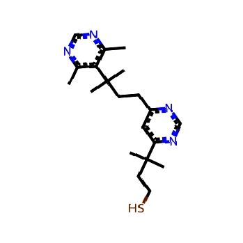 Cc1ncnc(C)c1C(C)(C)CCc1cc(C(C)(C)CCS)ncn1